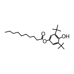 CCCCCCCCCC(=O)Oc1cc(C(C)(C)C)c(O)c(C(C)(C)C)c1